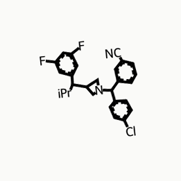 CC(C)C(c1cc(F)cc(F)c1)C1CN(C(c2ccc(Cl)cc2)c2cccc(C#N)c2)C1